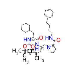 CC(C)C[C@@H](CN1CCC[C@H]1C(=O)NCCCCc1ccccc1)NC(=O)[C@H](CC1CCCCC1)NC(=O)OC(C)(C)C